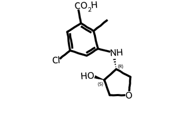 Cc1c(N[C@@H]2COC[C@H]2O)cc(Cl)cc1C(=O)O